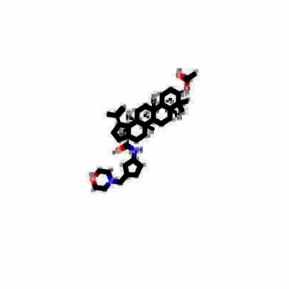 C=C(C)[C@@H]1CC[C@]2(C(=O)NC3CCC(CN4CCOCC4)C3)CC[C@]3(C)[C@H](CC[C@@H]4[C@@]5(C)CC[C@H](OC(C)=O)C(C)(C)[C@@H]5CC[C@]43C)[C@@H]12